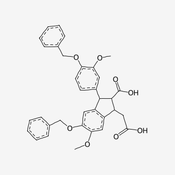 COc1cc(C2c3cc(OCc4ccccc4)c(OC)cc3C(CC(=O)O)C2C(=O)O)ccc1OCc1ccccc1